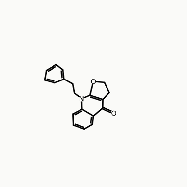 O=c1c2c(n(CCc3ccccc3)c3ccccc13)OCC2